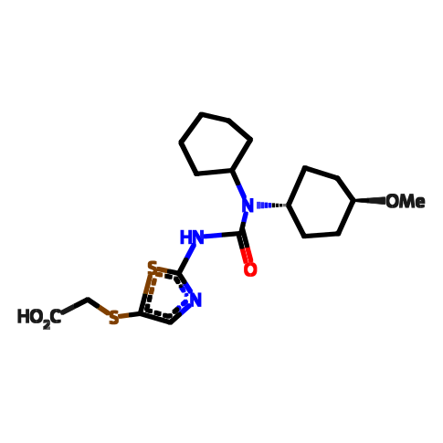 CO[C@H]1CC[C@H](N(C(=O)Nc2ncc(SCC(=O)O)s2)C2CCCCC2)CC1